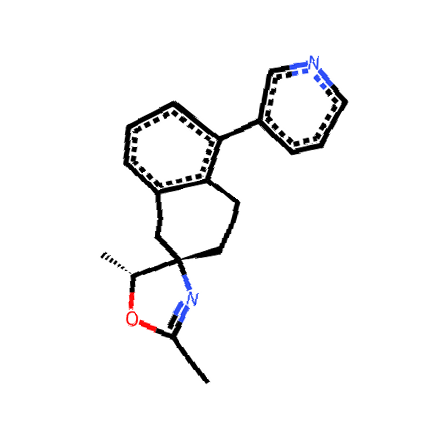 CC1=N[C@]2(CCc3c(cccc3-c3cccnc3)C2)[C@@H](C)O1